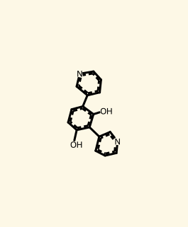 Oc1ccc(-c2cccnc2)c(O)c1-c1cccnc1